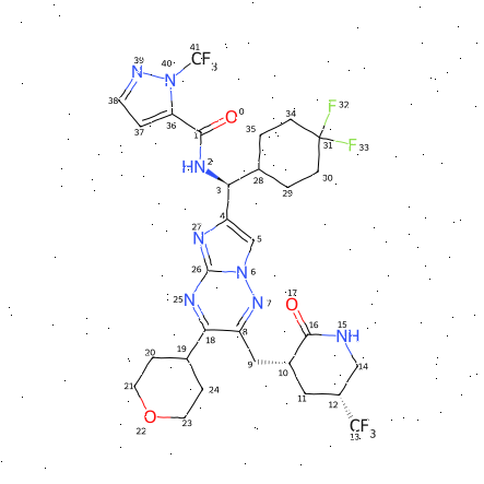 O=C(N[C@H](c1cn2nc(C[C@H]3C[C@@H](C(F)(F)F)CNC3=O)c(C3CCOCC3)nc2n1)C1CCC(F)(F)CC1)c1ccnn1C(F)(F)F